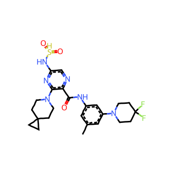 Cc1cc(NC(=O)c2ncc(N[SH](=O)=O)nc2N2CCC3(CC2)CC3)cc(N2CCC(F)(F)CC2)c1